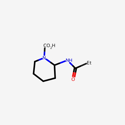 CCC(=O)NC1CCCCN1C(=O)O